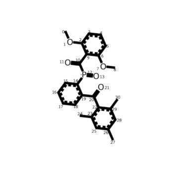 COc1cccc(OC)c1C(=O)[P](=O)c1ccccc1C(=O)c1c(C)cc(C)cc1C